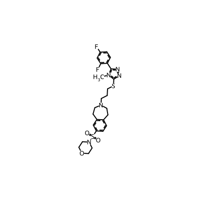 Cn1c(SCCCN2CCc3ccc(S(=O)(=O)N4CCOCC4)cc3CC2)nnc1-c1ccc(F)cc1F